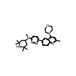 Cc1cc(N2CCOCC2)c2cc(-c3ccc(N(C)C4CC(C)(C)NC(C)(C)C4)nn3)ccc2n1